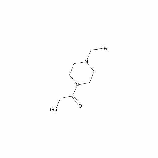 CC(C)CN1CCN(C(=O)CC(C)(C)C)CC1